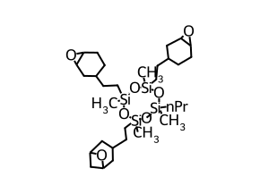 CCC[Si]1(C)O[Si](C)(CCC2CC3CC(C2)O3)O[Si](C)(CCC2CCC3OC3C2)O[Si](C)(CCC2CCC3OC3C2)O1